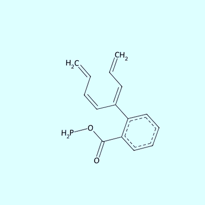 C=C/C=C\C(=C/C=C)c1ccccc1C(=O)OP